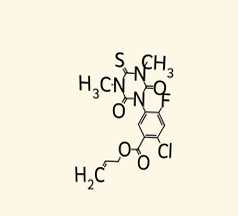 C=CCOC(=O)c1cc(-n2c(=O)n(C)c(=S)n(C)c2=O)c(F)cc1Cl